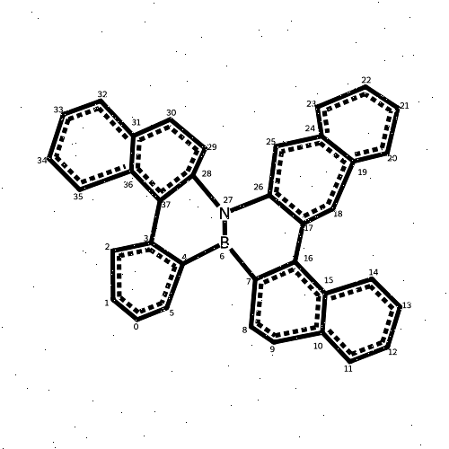 c1ccc2c(c1)B1c3ccc4ccccc4c3-c3cc4ccccc4cc3N1c1ccc3ccccc3c1-2